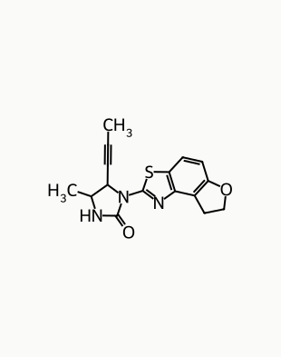 CC#CC1C(C)NC(=O)N1c1nc2c3c(ccc2s1)OCC3